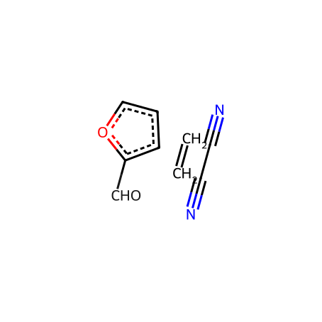 C=C.N#CC#N.O=Cc1ccco1